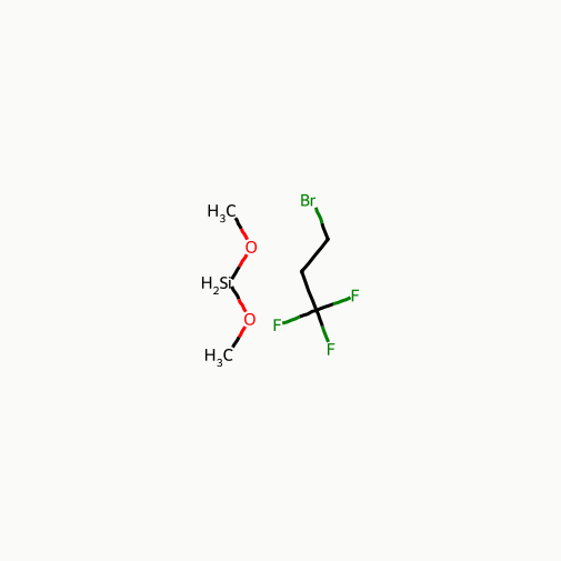 CO[SiH2]OC.FC(F)(F)CCBr